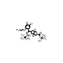 C=CCOc1cc(Cl)c(Cl)cc1C(=N[S+]([O-])C(C)(C)C)C1C[C@@H]2CN(C(=O)OC(C)(C)C)C[C@@H]2C1